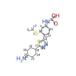 CC(C)Sc1cc(NC(=O)O)ccc1-c1nnc(C2CCC(N)CC2)s1